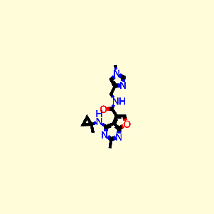 Cc1nc(NC2(C)CC2)c2c(C(=O)NCc3cn(C)cn3)coc2n1